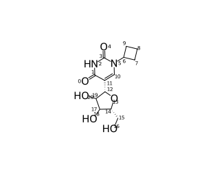 O=c1[nH]c(=O)n(C2CCC2)cc1[C@@H]1O[C@H](CO)C(O)C1O